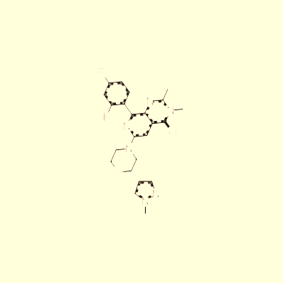 Cc1nc2c(-c3ccc(F)cc3F)nc(N3CCO[C@@H](c4cnn(C)c4)C3)cc2c(=O)n1C